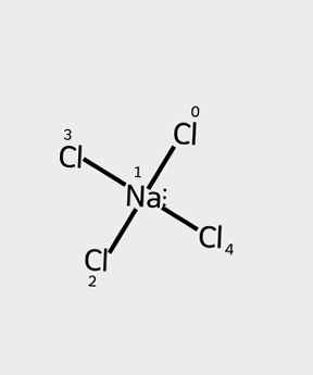 [Cl][Na]([Cl])([Cl])[Cl]